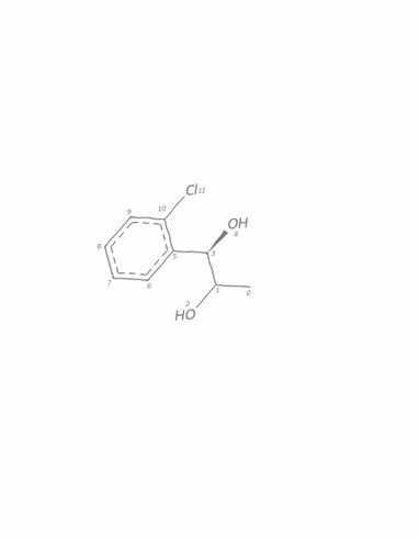 CC(O)[C@H](O)c1ccccc1Cl